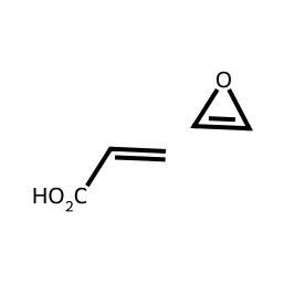 C1=CO1.C=CC(=O)O